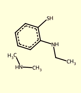 CCNc1ccccc1S.CNC